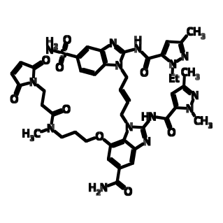 CCn1nc(C)cc1C(=O)Nc1nc2cc(S(N)(=O)=O)ccc2n1CC=CCn1c(NC(=O)c2cc(C)nn2C)nc2cc(C(N)=O)cc(OCCCN(C)C(=O)CCN3C(=O)C=CC3=O)c21